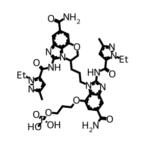 CCn1nc(C)cc1C(=O)Nc1nc2cc(C(N)=O)cc(OCCCOP(=O)(O)O)c2n1CCCC1COc2cc(C(N)=O)cc3nc(NC(=O)c4cc(C)nn4CC)n1c23